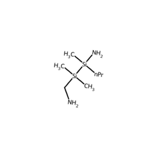 CCC[Si](C)(N)[Si](C)(C)CN